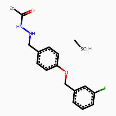 CCC(=O)NNCc1ccc(OCc2cccc(F)c2)cc1.CS(=O)(=O)O